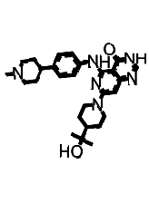 CN1CCC(c2ccc(Nc3nc(N4CCC(C(C)(C)O)CC4)cc4nc[nH]c(=O)c34)cc2)CC1